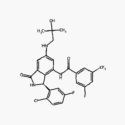 CC(C)(O)CNc1cc(NC(=O)c2cc(F)cc(C(F)(F)F)c2)c2c(c1)C(=O)N[C@@H]2c1cc(F)ccc1Cl